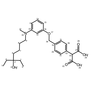 CCC(O)(CC)CCCCN(C)c1cccc(OCc2ccc(C(C(=O)O)C(=O)O)cc2)c1